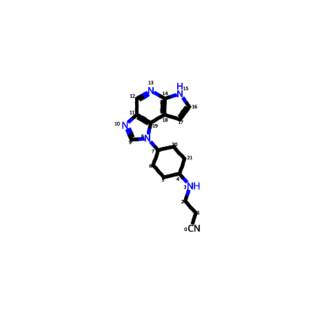 N#CCCNC1CCC(n2cnc3cnc4[nH]ccc4c32)CC1